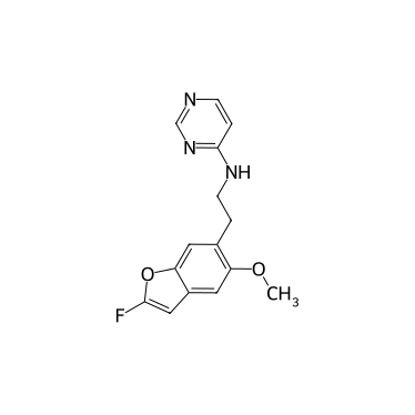 COc1cc2cc(F)oc2cc1CCNc1ccncn1